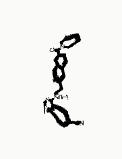 N#Cc1ccc2ncnc(NCCc3ccc4cc(C(=O)N5CCCCC5)ccc4c3)c2c1